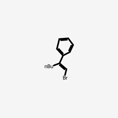 CCCCC(=CBr)c1ccccc1